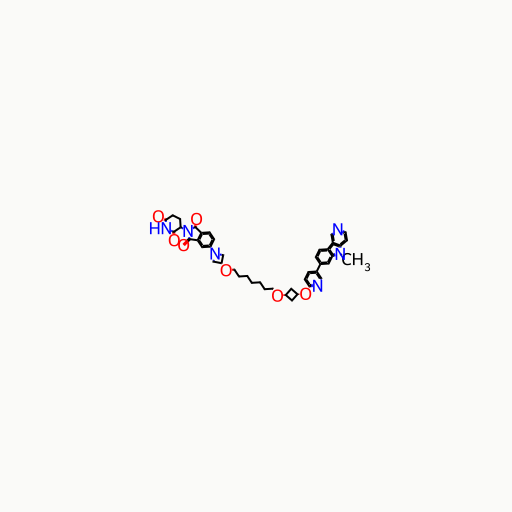 Cn1c2ccncc2c2ccc(-c3ccc(O[C@H]4C[C@H](OCCCCCCCOC5CN(c6ccc7c(c6)C(=O)N(C6CCC(=O)NC6=O)C7=O)C5)C4)nc3)cc21